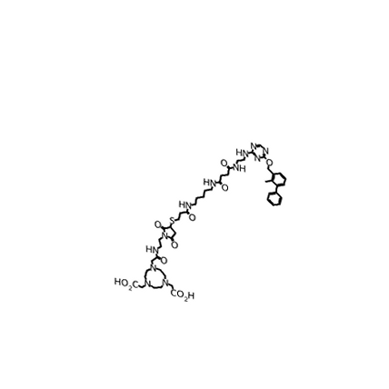 Cc1c(COc2ncnc(NCCNC(=O)CCC(=O)NCCCCCNC(=O)CCSC3CC(=O)N(CCNC(=O)CN4CCN(CC(=O)O)CCN(CC(=O)O)CC4)C3=O)n2)cccc1-c1ccccc1